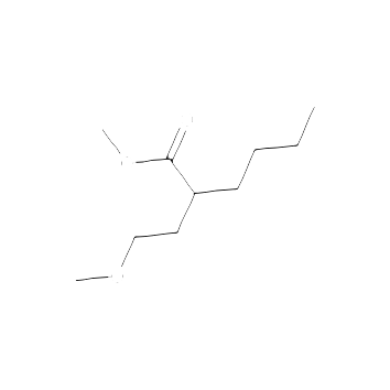 CCCCC(CCOC)C(=O)OC